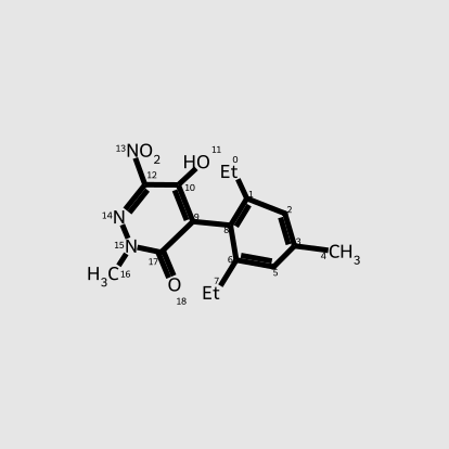 CCc1cc(C)cc(CC)c1-c1c(O)c([N+](=O)[O-])nn(C)c1=O